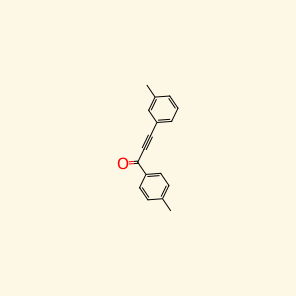 Cc1ccc(C(=O)C#Cc2cccc(C)c2)cc1